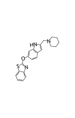 c1ccc2sc(Oc3ccc4cc(CN5CCCCC5)[nH]c4c3)nc2c1